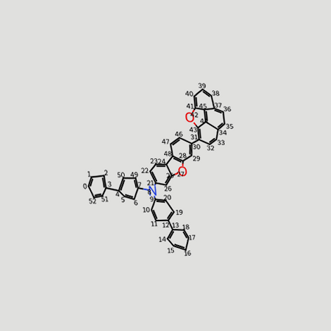 c1ccc(-c2ccc(N(c3ccc(-c4ccccc4)cc3)c3ccc4c(c3)oc3cc(-c5ccc6ccc7cccc8oc5c6c78)ccc34)cc2)cc1